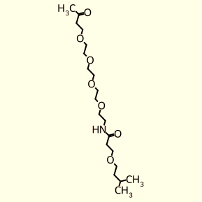 CC(=O)CCOCCOCCOCCOCCNC(=O)CCOCCC(C)C